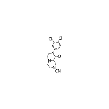 N#CN1CCN2CCN(c3ccc(Cl)c(Cl)c3)C(=O)C2C1